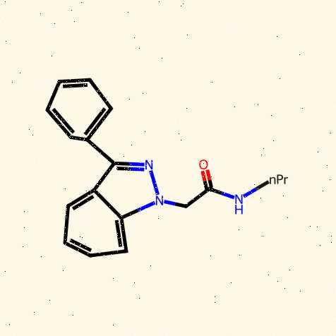 CCCNC(=O)Cn1nc(-c2ccccc2)c2ccccc21